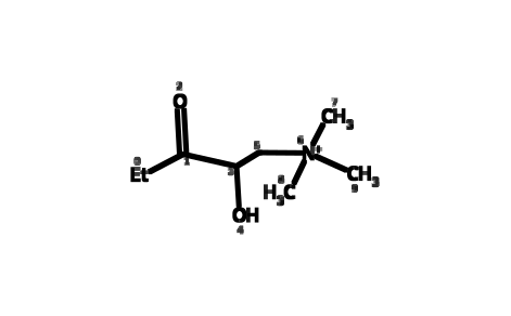 CCC(=O)C(O)C[N+](C)(C)C